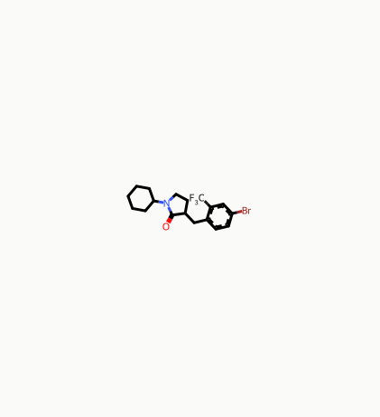 O=C1C(Cc2ccc(Br)cc2C(F)(F)F)CCN1C1CCCCC1